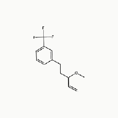 [CH]=CC(CCc1cccc(C(F)(F)F)c1)OC